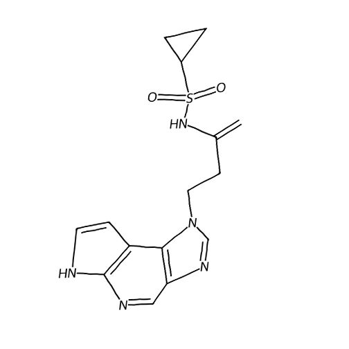 C=C(CCn1cnc2cnc3[nH]ccc3c21)NS(=O)(=O)C1CC1